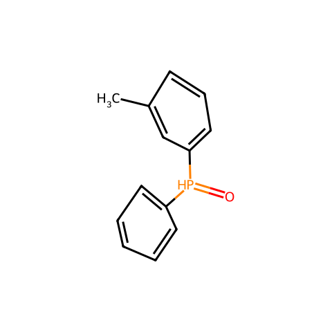 Cc1cccc([PH](=O)c2ccccc2)c1